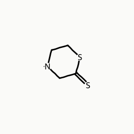 S=C1C[N]CCS1